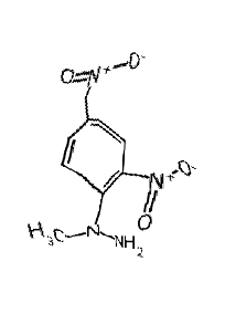 CN(N)c1ccc([N+](=O)[O-])cc1[N+](=O)[O-]